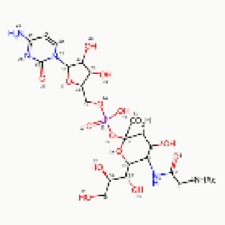 CC(=O)NCC(=O)NC1C(O)CC(OP(=O)(O)OCC2OC(n3ccc(N)nc3=O)C(O)C2O)(C(=O)O)OC1[C@H](O)[C@H](O)CO